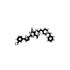 CC(=O)c1nc(-c2ccc(-c3cccc(Cl)c3)o2)nn(C)/c1=N/C(=O)CC1CCN(Cc2ccccc2)CC1